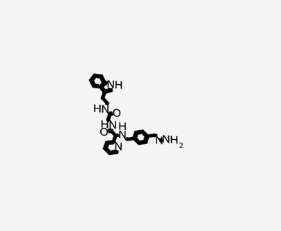 NN=Cc1ccc(CNC(C(=O)NCC(=O)NCCc2c[nH]c3ccccc23)c2ccccn2)cc1